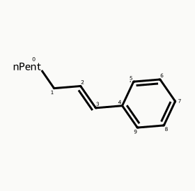 CCCCCC/C=C/c1[c]cccc1